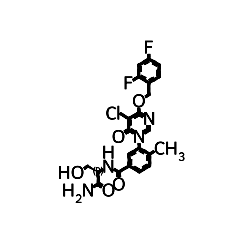 Cc1ccc(C(=O)N[C@H](CO)C(N)=O)cc1-n1cnc(OCc2ccc(F)cc2F)c(Cl)c1=O